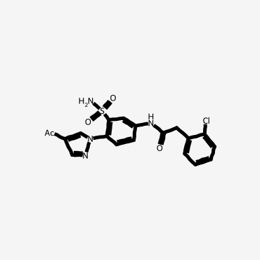 CC(=O)c1cnn(-c2ccc(NC(=O)Cc3ccccc3Cl)cc2S(N)(=O)=O)c1